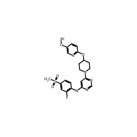 CC(C)Oc1ccc(OC2CCN(c3cc([N]c4ccc(S(C)(=O)=O)cc4F)ncn3)CC2)nc1